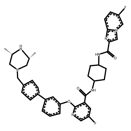 C[C@@H]1CN(Cc2ccc(-c3cccc(Oc4ncc(F)cc4C(=O)NC4CCC(NC(=O)c5cn6cc(F)ccc6n5)CC4)c3)cc2)C[C@H](C)N1